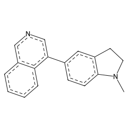 CN1CCc2cc(-c3cncc4ccccc34)ccc21